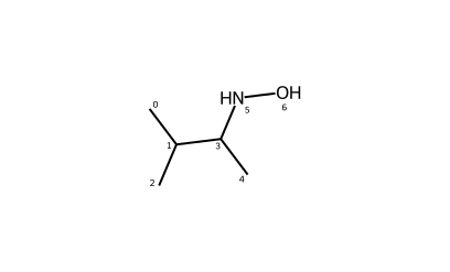 CC(C)C(C)NO